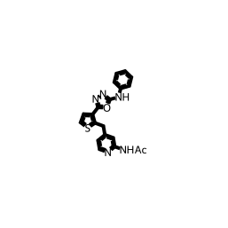 CC(=O)Nc1cc(Cc2sccc2-c2nnc(Nc3ccccc3)o2)ccn1